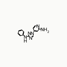 Nc1cc(-n2cnc(Nc3ccccc3)n2)ccn1